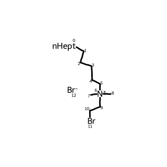 CCCCCCCCCCCC[N+](C)(C)CCBr.[Br-]